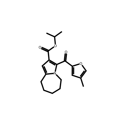 Cc1coc(C(=O)c2c(C(=O)OC(C)C)cc3n2CCCCC3)c1